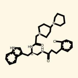 O=C(CCc1ccccc1Cl)NC[C@@H](Cc1c[nH]c2ccccc12)NC(=O)CN1CCC(N2CCCCC2)CC1